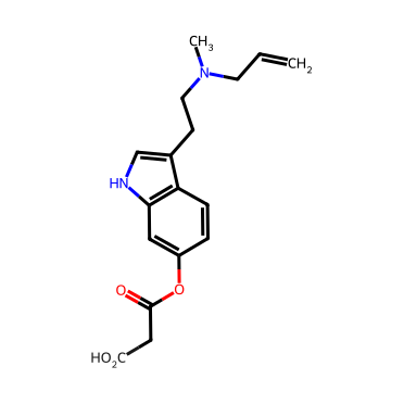 C=CCN(C)CCc1c[nH]c2cc(OC(=O)CC(=O)O)ccc12